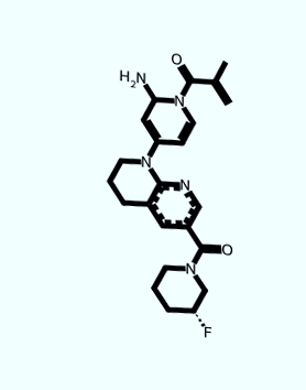 C=C(C)C(=O)N1C=CC(N2CCCc3cc(C(=O)N4CCC[C@@H](F)C4)cnc32)=CC1N